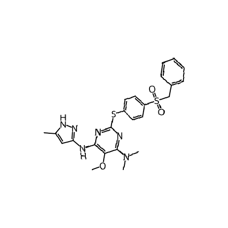 COc1c(Nc2cc(C)[nH]n2)nc(Sc2ccc(S(=O)(=O)Cc3ccccc3)cc2)nc1N(C)C